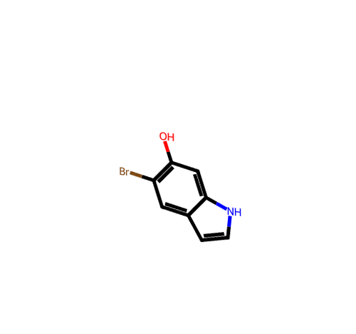 Oc1cc2[nH]ccc2cc1Br